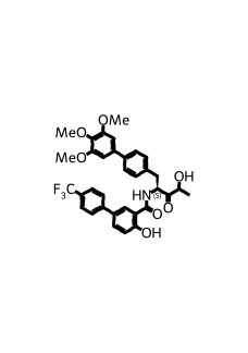 COc1cc(-c2ccc(C[C@H](NC(=O)c3cc(-c4ccc(C(F)(F)F)cc4)ccc3O)C(=O)C(C)O)cc2)cc(OC)c1OC